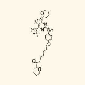 CC(C)(C)Nc1nc(Nc2ccc(OCCCCCCC(=O)C3CCCCO3)cc2)nc2c1ncn2C1CCCCO1